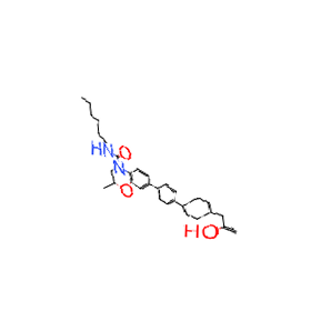 C=C(O)CC1CCC(c2ccc(-c3ccc4c(c3)OC(C)CN4C(=O)NCCCCCC)cc2)CC1